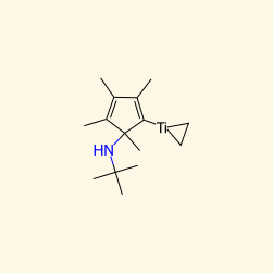 CC1=C(C)C(C)(NC(C)(C)C)[C]([Ti]2[CH2][CH2]2)=C1C